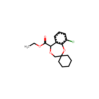 CCOC(=O)C1OCC2(CCCCC2)Oc2c(Cl)cccc21